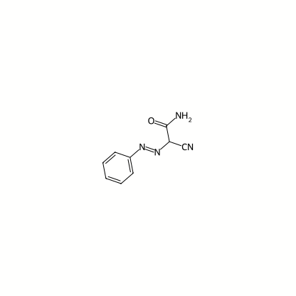 N#CC(N=Nc1ccccc1)C(N)=O